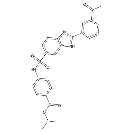 CC(=O)c1cccc(-c2nc3ccc(S(=O)(=O)Nc4ccc(C(=O)OC(C)C)cc4)cc3[nH]2)c1